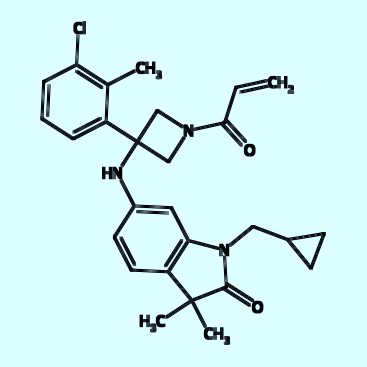 C=CC(=O)N1CC(Nc2ccc3c(c2)N(CC2CC2)C(=O)C3(C)C)(c2cccc(Cl)c2C)C1